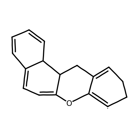 [C]1=C2OC3=CC=C4C=CC=CC4C3CC2=CCC1